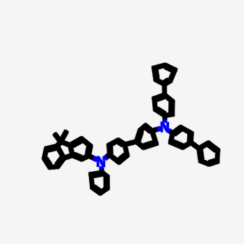 CC1(C)c2ccccc2-c2cc(N(c3ccccc3)c3ccc(-c4ccc(N(c5ccc(-c6ccccc6)cc5)c5ccc(-c6ccccc6)cc5)cc4)cc3)ccc21